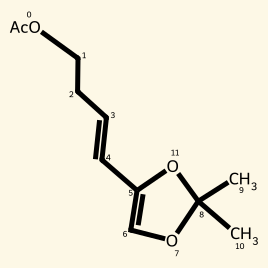 CC(=O)OCCC=CC1=COC(C)(C)O1